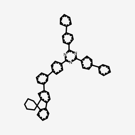 c1ccc(-c2ccc(-c3nc(-c4ccc(-c5ccccc5)cc4)nc(-c4ccc(-c5cccc(-c6ccc7c(c6)C6(CCCCC6)c6ccccc6-7)c5)cc4)n3)cc2)cc1